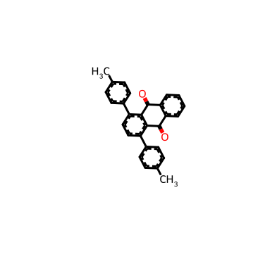 Cc1ccc(-c2ccc(-c3ccc(C)cc3)c3c2C(=O)c2ccccc2C3=O)cc1